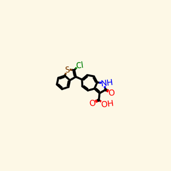 O=C(O)c1c2ccc(-c3c(Cl)sc4ccccc34)ccc-2[nH]c1=O